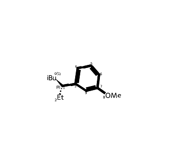 CC[C@H](C)[C@@H](CC)c1cccc(OC)c1